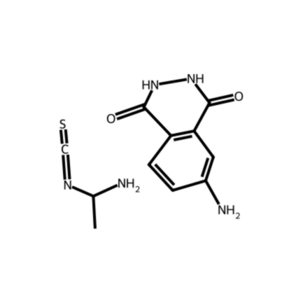 CC(N)N=C=S.Nc1ccc2c(=O)[nH][nH]c(=O)c2c1